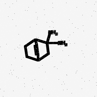 NC1(N)CC2C=CC1CC2